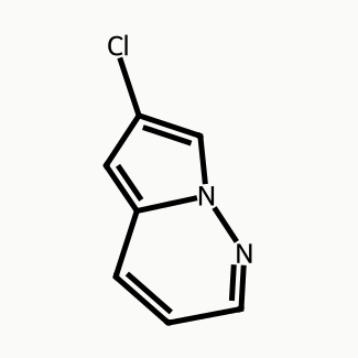 Clc1cc2cccnn2c1